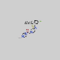 COc1ccc(F)cc1-c1nc2c(s1)CN(CC(=O)N1CCN(C3CCC3)CC1)CC2